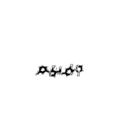 O=C(Nc1cnc(N2N=CCN2)c(Cl)c1)c1cnn(-c2cccc(F)c2)c1C(F)(F)F